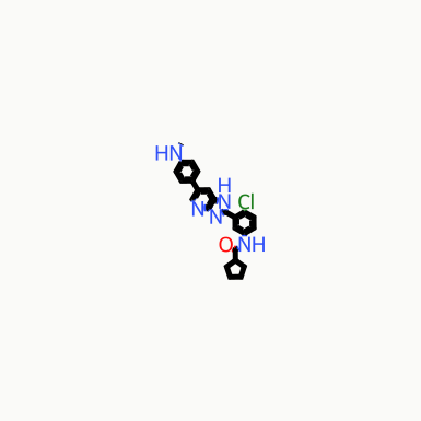 CNc1ccc(-c2cnc3nc(-c4cc(NC(=O)C5CCCC5)ccc4Cl)[nH]c3c2)cc1